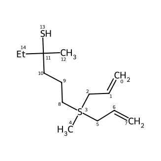 C=CCS(C)(CC=C)CCCC(C)(S)CC